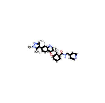 Cc1nn(C)c(C)c1-c1ccc2c(Oc3cccc(C(=O)NCc4ccncc4)c3C)ccnc2c1